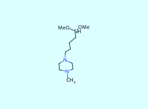 CO[SiH](CCCCN1CCN(C)CC1)OC